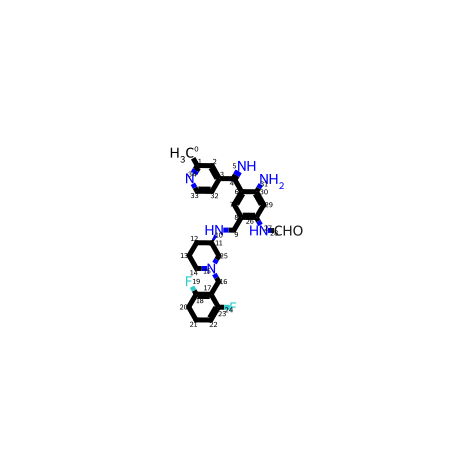 Cc1cc(C(=N)c2cc(CN[C@@H]3CCCN(CC4=C(F)CCC=C4F)C3)c(NC=O)cc2N)ccn1